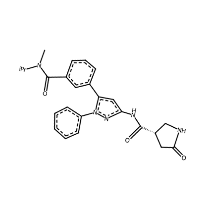 CC(C)N(C)C(=O)c1cccc(-c2cc(NC(=O)[C@@H]3CNC(=O)C3)nn2-c2ccccc2)c1